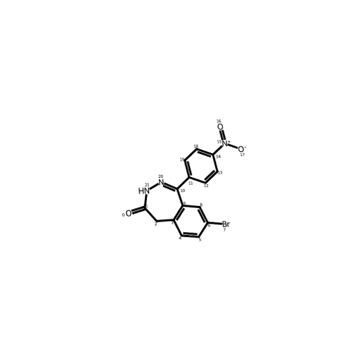 O=C1Cc2ccc(Br)cc2C(c2ccc([N+](=O)[O-])cc2)=NN1